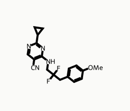 COc1ccc(CC(F)(F)CNc2nc(C3CC3)ncc2C#N)cc1